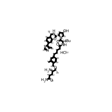 Cc1cc(CCCCC(=O)N[C@H](C(=O)N2C[C@H](O)C[C@H]2C(=O)N[C@@H](C)c2ccc(-c3scnc3C)cc2)C(C)(C)C)ccc1CO[C@H](C)[C@@H](N)CCC(N)=O.Cl